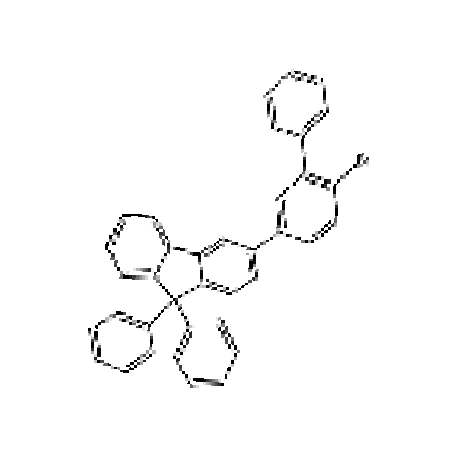 Brc1ccc(-c2ccc3c(c2)-c2ccccc2C3(c2ccccc2)c2ccccc2)cc1-c1ccccc1